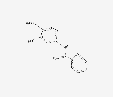 COc1ccc(NC(=O)c2ccccc2)cc1O